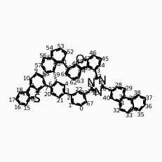 c1cc(-c2ccc(-c3cccc4c3sc3ccccc34)cc2)cc(-c2nc(-c3ccc4c(ccc5ccccc54)c3)nc(-c3cccc4oc5c(-c6cccc7ccccc67)cccc5c34)n2)c1